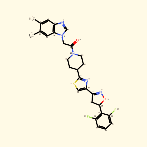 Cc1cc2ncn(CC(=O)N3CCC(c4nc(C5=NOC(c6c(F)cccc6F)C5)cs4)CC3)c2cc1C